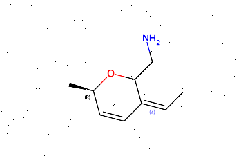 C/C=C1/C=C[C@@H](C)OC1CN